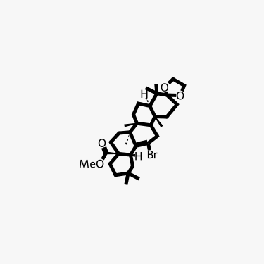 COC(=O)[C@]12CCC(C)(C)C[C@H]1C1=C(Br)CC3[C@@]4(C)CCC5(OCCO5)C(C)(C)[C@@H]4CC[C@@]3(C)[C@]1(C)CC2